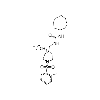 Cc1ccccc1S(=O)(=O)N1CCC(CNC(=O)N[C]2CCCCCCC2)CC1.[CH2].[CH2]